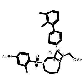 COC[C@@H]1[C@@H](c2ccc(-c3cccc(C)c3C)cc2)[C@@H]2CN(S(=O)(=O)c3ccc(NC(C)=O)cc3C)CCCCN12